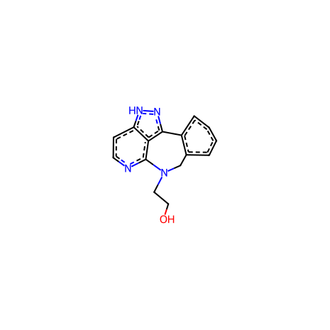 OCCN1Cc2ccccc2-c2n[nH]c3ccnc1c23